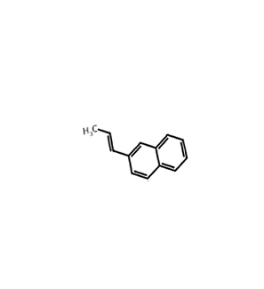 CC=Cc1c[c]c2ccccc2c1